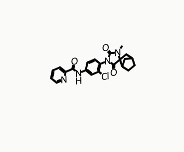 CN1C(=O)N(c2ccc(NC(=O)c3ccccn3)cc2Cl)C(=O)C12CC1CCC2C1